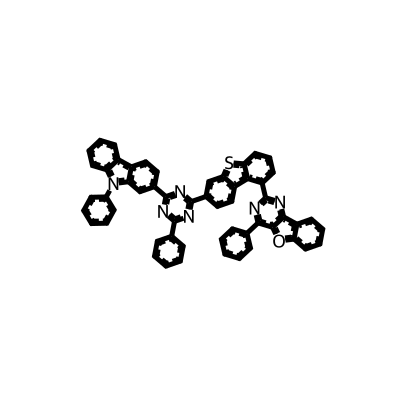 c1ccc(-c2nc(-c3ccc4c(c3)sc3cccc(-c5nc(-c6ccccc6)c6oc7ccccc7c6n5)c34)nc(-c3ccc4c5ccccc5n(-c5ccccc5)c4c3)n2)cc1